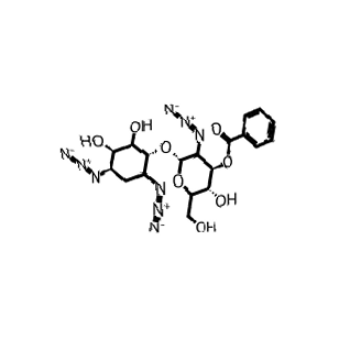 [N-]=[N+]=NC1C[C@@H](N=[N+]=[N-])[C@@H](O)C(O)[C@@H]1O[C@H]1OC(CO)[C@@H](O)[C@H](OC(=O)c2ccccc2)C1N=[N+]=[N-]